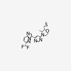 CSCC1OCCN(c2cc(-c3cnc4ccc(C(F)F)nn34)ncn2)C1C